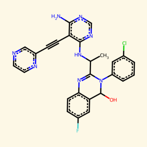 CC(Nc1ncnc(N)c1C#Cc1cnccn1)C1=Nc2ccc(F)cc2C(O)N1c1cccc(Cl)c1